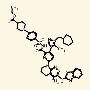 CCOC(=O)C1CCN(c2ccc(S(=O)(=O)NC(=O)c3nc(N4CCCc5c4nnc(Nc4nc6ccccc6s4)c5C)ccc3-c3cnn(CC4CCCCC4)c3C)cc2)CC1